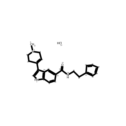 CN1CC=C(c2c[nH]c3ccc(C(=O)NCCc4ccccc4)cc23)CC1.Cl